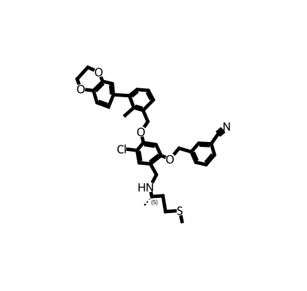 CSCC[C@H](C)NCc1cc(Cl)c(OCc2cccc(-c3ccc4c(c3)OCCO4)c2C)cc1OCc1cccc(C#N)c1